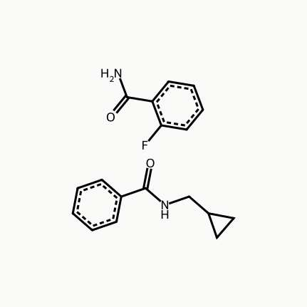 NC(=O)c1ccccc1F.O=C(NCC1CC1)c1ccccc1